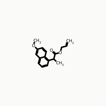 C=CCOC(=O)C(C)c1cccc2cc(OC)ccc12